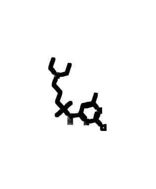 CCN(CC)CCCC(C)(C)Nc1cc(C)nc(Cl)n1